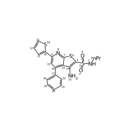 CCCNS(=O)(=O)c1sc2nc(-c3cccs3)cc(-c3ccccc3)c2c1N